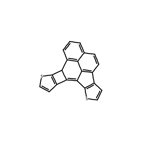 c1cc2c3c4c(ccc3c1)-c1ccsc1C4=C1c3ccsc3C12